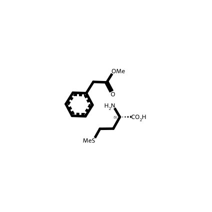 COC(=O)Cc1ccccc1.CSCC[C@H](N)C(=O)O